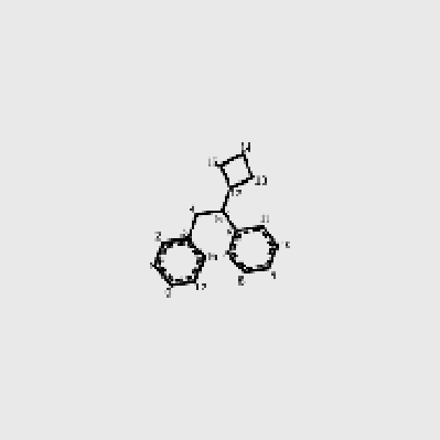 c1ccc(C[C](c2ccccc2)C2CCC2)cc1